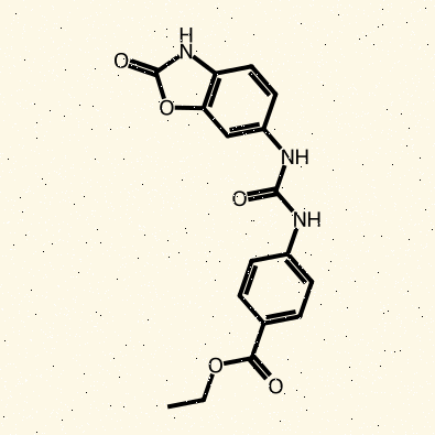 CCOC(=O)c1ccc(NC(=O)Nc2ccc3[nH]c(=O)oc3c2)cc1